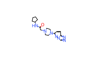 O=C(CN1CCN(c2ccc3nncn3n2)CC1)NC1CCCC1